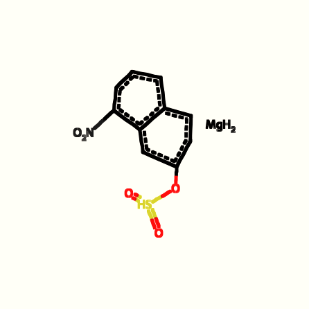 O=[N+]([O-])c1cccc2ccc(O[SH](=O)=O)cc12.[MgH2]